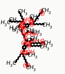 CCCCCCCC(OC(=O)c1ccc(C(=O)OC(C)COCC(COCC(C)OC(=O)c2ccc(C(=O)OC(CCCCCCC)C(CCCCCCC(=O)OC)OCC(C)O)cc2C(=O)OC(CCCCCCC)C(CCCCCCC(C)C)OCC(C)O)OCC(C)OCC(C)O)c(C(=O)OC(CCCCCCC)C(CCCCCCC(=O)OC)OCC(C)O)c1)C(CCCCCCC(=O)OC)OCC(C)O